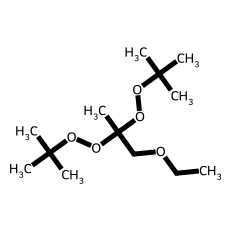 CCOCC(C)(OOC(C)(C)C)OOC(C)(C)C